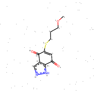 COCCCSC1=CC(=O)c2[nH]ncc2C1=O